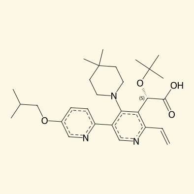 C=Cc1ncc(-c2ccc(OCC(C)C)cn2)c(N2CCC(C)(C)CC2)c1[C@H](OC(C)(C)C)C(=O)O